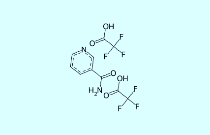 NC(=O)c1cccnc1.O=C(O)C(F)(F)F.O=C(O)C(F)(F)F